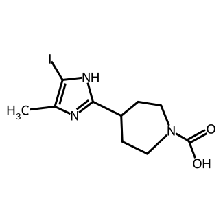 Cc1nc(C2CCN(C(=O)O)CC2)[nH]c1I